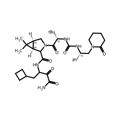 CC(C)[C@@H](CN1CCCCC1=O)NC(=O)N[C@H](C(=O)N1C[C@H]2[C@@H](C1C(=O)NC(CC1CCC1)C(=O)C(N)=O)C2(C)C)C(C)(C)C